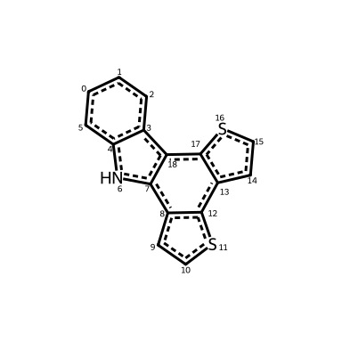 c1ccc2c(c1)[nH]c1c3ccsc3c3ccsc3c21